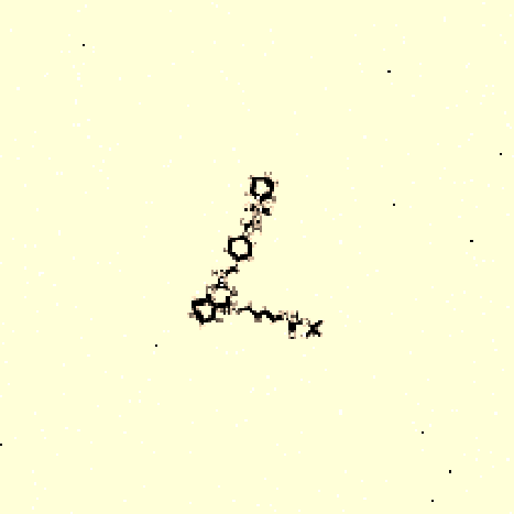 CC(C)(C)OC(=O)NCCCCNc1nc(NC[C@H]2CC[C@H](CNS(=O)(=O)c3ccccc3)CC2)nc2ccccc12